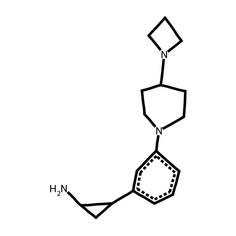 NC1CC1c1cccc(N2CCC(N3CCC3)CC2)c1